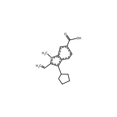 C=Cc1c(C2CCCC2)c2ccc(C(=O)O)cc2n1C